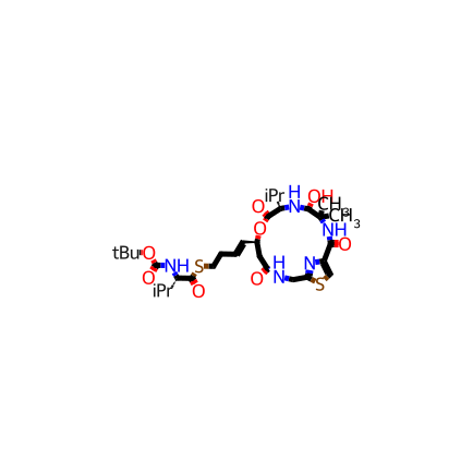 CC(C)[C@@H]1NC(O)C(C)(C)NC(=O)c2csc(n2)CNC(=O)C[C@@H](/C=C/CCSC(=O)[C@@H](NC(=O)OC(C)(C)C)C(C)C)OC1=O